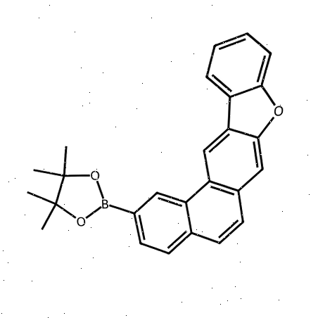 CC1(C)OB(c2ccc3ccc4cc5oc6ccccc6c5cc4c3c2)OC1(C)C